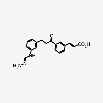 NN=CNc1cccc(CCC(=O)c2cccc(C=CC(=O)O)c2)c1